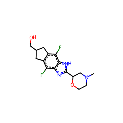 CN1CCOC(c2nc3c(F)c4c(c(F)c3[nH]2)CC(CO)C4)C1